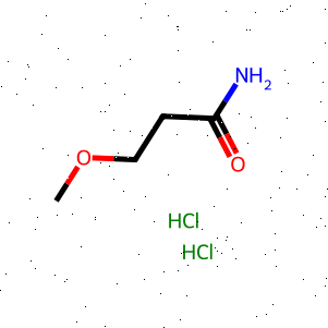 COCCC(N)=O.Cl.Cl